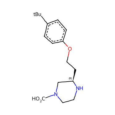 CC(C)(C)c1ccc(OCC[C@@H]2CN(C(=O)O)CCN2)cc1